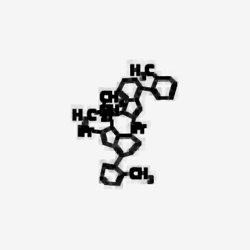 Cc1ccccc1-c1cccc2c1C=C(C(C)C)[CH]2[Zr]([CH]1C(C(C)C)=Cc2c(-c3ccccc3C)cccc21)[SiH](C)C